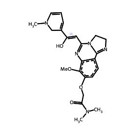 COc1c(OCC(=O)N(C)C)ccc2c1N=C(/C=C(\O)C1=CC=CN(C)C1)N1CCN=C21